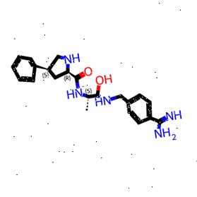 C[C@H](NC(=O)[C@H]1C[C@@H](c2ccccc2)CN1)C(O)NCc1ccc(C(=N)N)cc1